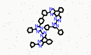 c1ccc(-c2cc(-c3ccccc3)nc(-c3ncc4c5ccccc5c5cnc(-c6cccc(-c7ccc(-c8nc(-c9ccccc9)nc(-c9ncc%10c%11ccccc%11c%11cnc(-c%12ccccc%12)nc%11c%10n9)n8)cc7)c6)nc5c4n3)n2)cc1